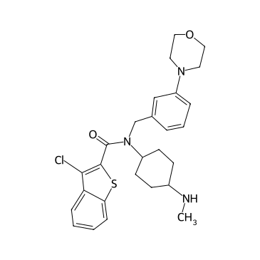 CNC1CCC(N(Cc2cccc(N3CCOCC3)c2)C(=O)c2sc3ccccc3c2Cl)CC1